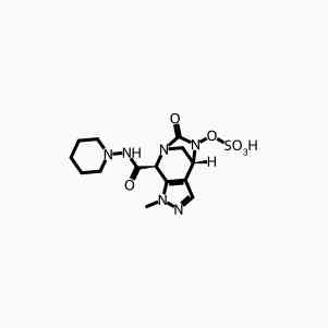 Cn1ncc2c1[C@@H](C(=O)NN1CCCCC1)N1C[C@@H]2N(OS(=O)(=O)O)C1=O